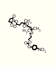 CC(C)(CCC(=O)ON1C(=O)CCC1=O)OCCC(C)(C)SSCCOC(=O)Oc1ccc([N+](=O)[O-])cc1